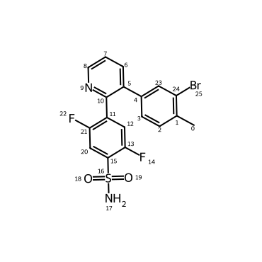 Cc1ccc(-c2cccnc2-c2cc(F)c(S(N)(=O)=O)cc2F)cc1Br